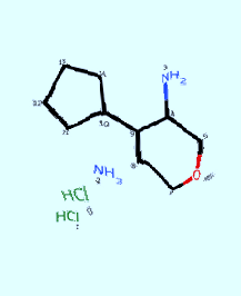 Cl.Cl.N.NC1COCCC1C1CCCC1